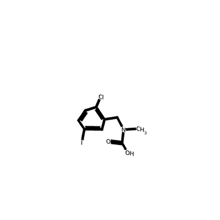 CN(Cc1cc(I)ccc1Cl)C(=O)O